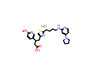 COc1ccc(C(CC(=O)O)Cc2csc(CCCCNc3cc(N4CCCC4)ccn3)n2)cn1.Cl